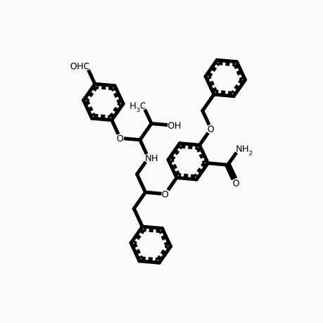 CC(O)C(NCC(Cc1ccccc1)Oc1ccc(OCc2ccccc2)c(C(N)=O)c1)Oc1ccc(C=O)cc1